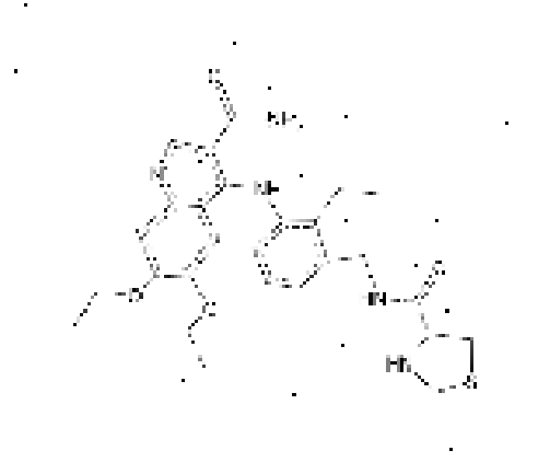 CCOc1cc2ncc(C(N)=O)c(Nc3cccc(CNC(=O)[C@@H]4CSCN4)c3CC)c2cc1OCC